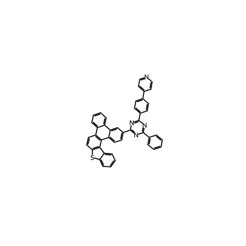 c1ccc(-c2nc(-c3ccc(-c4ccncc4)cc3)nc(-c3ccc4c(c3)c3ccccc3c3ccc5sc6ccccc6c5c34)n2)cc1